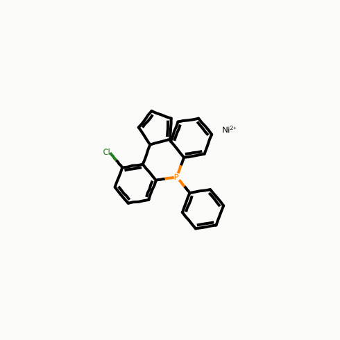 Clc1cccc(P(c2ccccc2)c2ccccc2)c1C1C=CC=C1.[Ni+2]